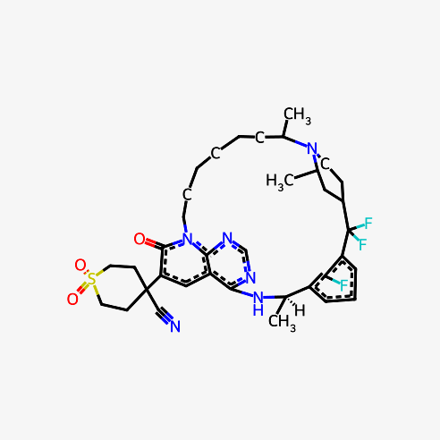 CC1CCCCCCn2c(=O)c(C3(C#N)CCS(=O)(=O)CC3)cc3c(ncnc32)N[C@H](C)c2cccc(c2F)C(F)(F)C2CCN1C(C)C2